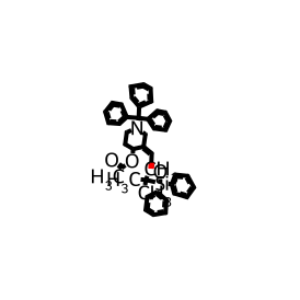 CC(=O)OC1CCN(C(c2ccccc2)(c2ccccc2)c2ccccc2)CC1=CCO[Si](c1ccccc1)(c1ccccc1)C(C)(C)C